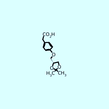 CC1(C)OC[C@@H](COc2ccc(CC(=O)O)cc2)O1